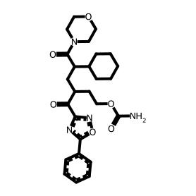 NC(=O)OCCC(CC(C(=O)N1CCOCC1)C1CCCCC1)C(=O)c1noc(-c2ccccc2)n1